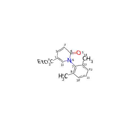 CCOC(=O)c1ccc(=O)n(-c2c(C)cccc2C)c1